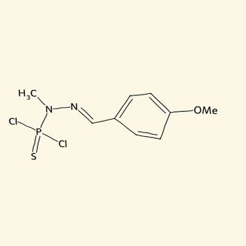 COc1ccc(C=NN(C)P(=S)(Cl)Cl)cc1